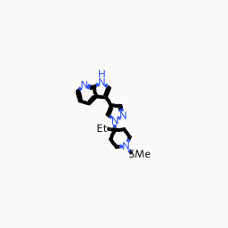 CCC1(n2cc(-c3c[nH]c4ncccc34)cn2)CCN(SC)CC1